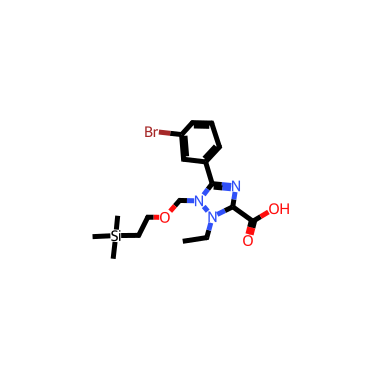 CCN1C(C(=O)O)N=C(c2cccc(Br)c2)N1COCC[Si](C)(C)C